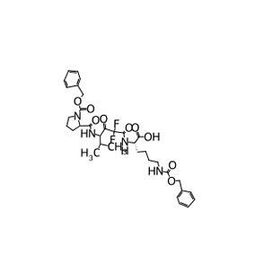 CC(C)C(NC(=O)C1CCCN1C(=O)OCc1ccccc1)C(=O)C(F)(F)C(=O)N[C@@H](CCCCNC(=O)OCc1ccccc1)C(=O)O